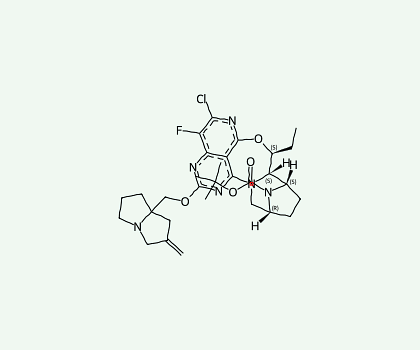 C=C1CN2CCCC2(COc2nc3c4c(nc(Cl)c(F)c4n2)O[C@@H](CC)[C@@H]2[C@@H]4CC[C@H](CN32)N4C(=O)OC(C)(C)C)C1